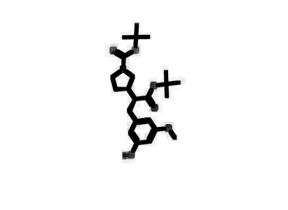 COc1cc(O)cc(C[C@H](C(=O)OC(C)(C)C)[C@H]2CCN(C(=O)OC(C)(C)C)C2)c1